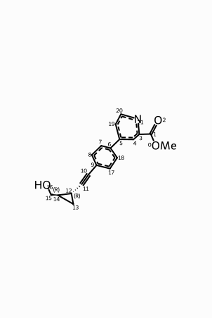 COC(=O)c1cc(-c2ccc(C#C[C@@H]3C[C@H]3CO)cc2)ccn1